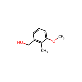 Cc1c([CH]O)cccc1OC(F)(F)F